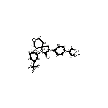 O=C1N(c2ccc(-c3cn[nH]c3)cc2)CC2(CCOCC2)N1c1cccc(C(F)(F)F)c1